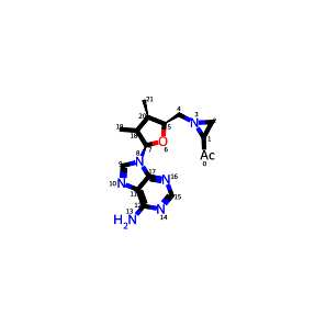 CC(=O)C1CN1C[C@H]1O[C@@H](n2cnc3c(N)ncnc32)C(C)[C@H]1C